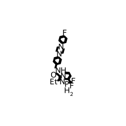 CCc1nc2c(C(F)(F)P)cccn2c1C(=O)NCc1ccc(N2CCN(c3ccc(F)cc3)CC2)cc1